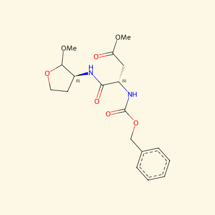 COC(=O)C[C@H](NC(=O)OCc1ccccc1)C(=O)N[C@H]1CCOC1OC